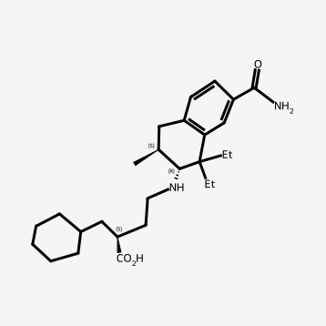 CCC1(CC)c2cc(C(N)=O)ccc2C[C@H](C)[C@H]1NCC[C@H](CC1CCCCC1)C(=O)O